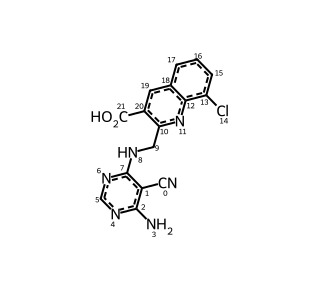 N#Cc1c(N)ncnc1NCc1nc2c(Cl)cccc2cc1C(=O)O